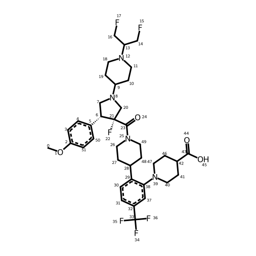 COc1ccc([C@@H]2CN(C3CCN(C(CF)CF)CC3)C[C@@]2(F)C(=O)N2CCC(c3ccc(C(F)(F)F)cc3N3CCC(C(=O)O)CC3)CC2)cc1